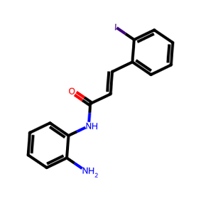 Nc1ccccc1NC(=O)/C=C/c1ccccc1I